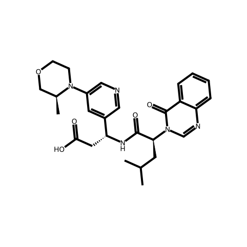 CC(C)C[C@@H](C(=O)N[C@H](CC(=O)O)c1cncc(N2CCOC[C@@H]2C)c1)n1cnc2ccccc2c1=O